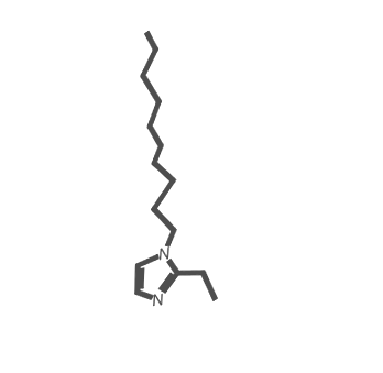 CCCCCCCCCCn1ccnc1CC